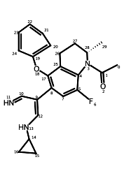 CC(=O)N1c2c(F)cc(/C(C=N)=C/NC3CC3)c(Oc3ccccc3)c2CC[C@@H]1C